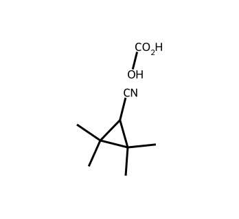 CC1(C)C(C#N)C1(C)C.O=C(O)O